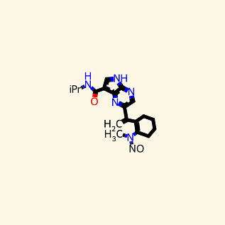 C=C(C1=C(N(C)N=O)CCCC1)c1cnc2[nH]cc(C(=O)NC(C)C)c2n1